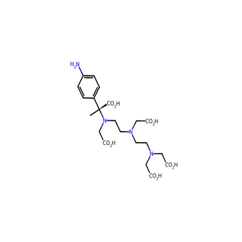 C[C@](C(=O)O)(c1ccc(N)cc1)N(CCN(CCN(CC(=O)O)CC(=O)O)CC(=O)O)CC(=O)O